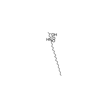 CCCCCCCCCCCCCCCCCCCCC(=O)NC(CC(C)C)C(=O)O